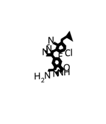 Cn1ncc(-c2ccc3c(=O)[nH]nc(CN)c3c2)c1-c1c(F)c(Cl)cc(CC2CC2)c1C#N